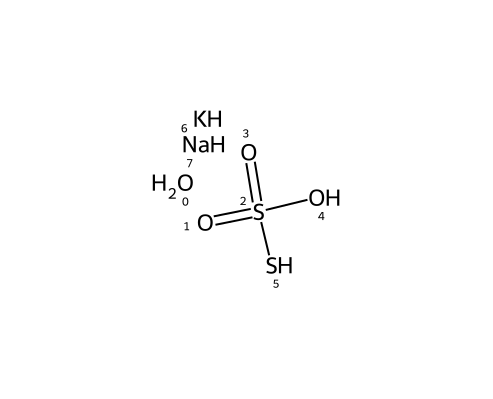 O.O=S(=O)(O)S.[KH].[NaH]